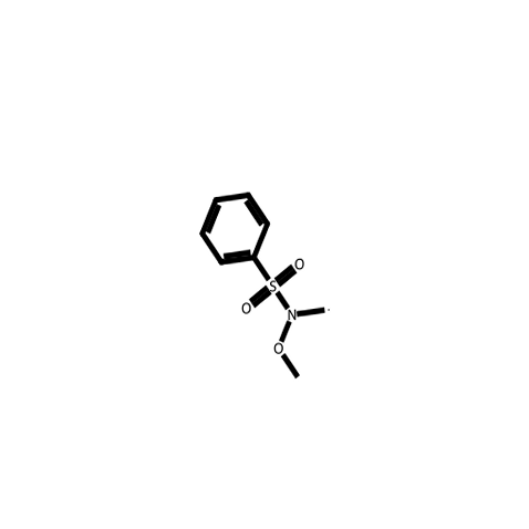 [CH2]N(OC)S(=O)(=O)c1ccccc1